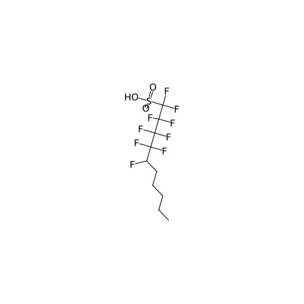 CCCCCC(F)C(F)(F)C(F)(F)C(F)(F)C(F)(F)S(=O)(=O)O